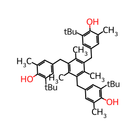 Cc1cc(Cc2c(C)c(Cc3cc(C)c(O)c(C(C)(C)C)c3)c(C)c(Cc3cc(C)c(O)c(C(C)(C)C)c3)c2C)cc(C(C)(C)C)c1O